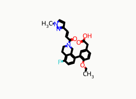 CCOc1ccc(CC(=O)O)cc1-c1ccc(F)c2c1CN(C(=O)C=Cc1ccn(C)n1)CC2